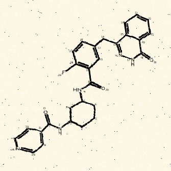 O=C(NC1CCCC(NC(=O)c2cc(Cc3n[nH]c(=O)c4ccccc34)ccc2F)C1)c1ccncc1